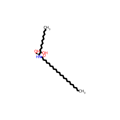 CCCCCCCCCCCCCCCCCCCCCCC(=O)N[C@@H](CO)[C@H](O)CCCCCCCCCCC